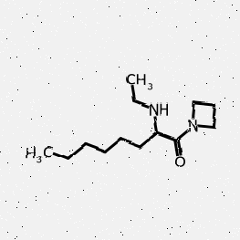 CCCCCCC(NCC)C(=O)N1CCC1